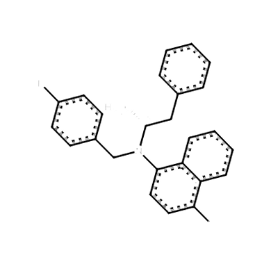 O=C(O)[C@H](Cc1ccccc1)N(Cc1ccc(F)cc1)c1ccc(F)c2ccccc12